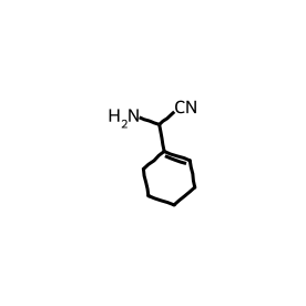 N#CC(N)C1=CCCCC1